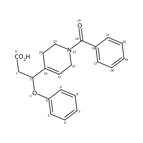 O=C(O)CC(Oc1ccccc1)C1=CCN(C(=O)c2ccccc2)CC1